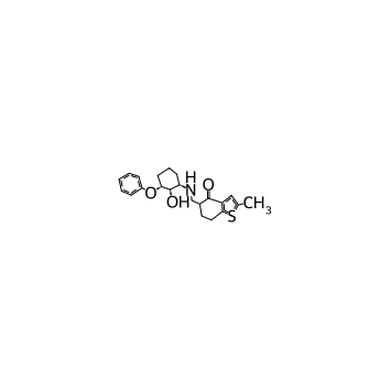 Cc1cc2c(s1)CCC(CN[C@@H]1CCC[C@H](Oc3ccccc3)[C@@H]1O)C2=O